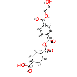 O=C(OCCO)c1ccc(C(=O)OC(=O)C2CCC(C(=O)O)CC2)cc1